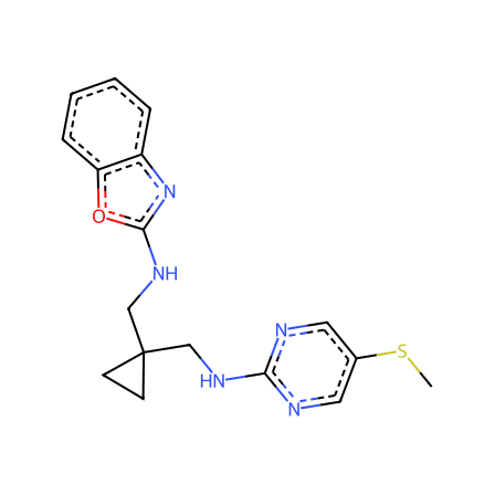 CSc1cnc(NCC2(CNc3nc4ccccc4o3)CC2)nc1